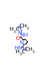 CN(C)/C=N/NC(=O)c1cccc(C(=N)N(C)C)n1